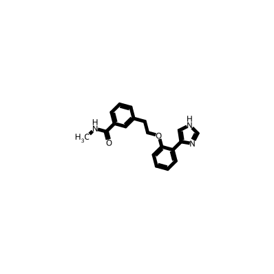 CNC(=O)c1cccc(CCOc2ccccc2-c2c[nH]cn2)c1